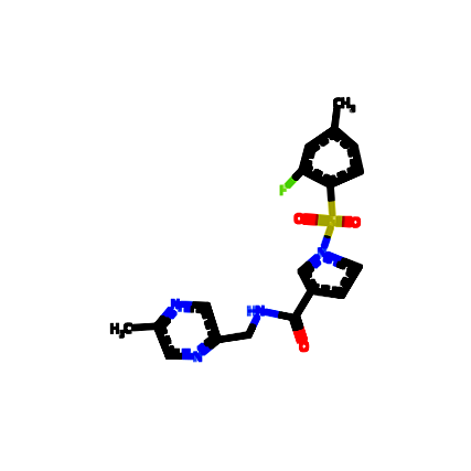 Cc1ccc(S(=O)(=O)n2ccc(C(=O)NCc3cnc(C)cn3)c2)c(F)c1